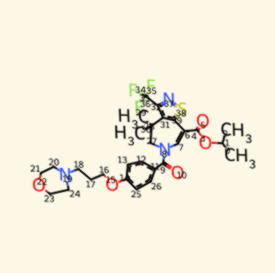 CC(C)OC(=O)C1=CN(C(=O)c2ccc(OCCCN3CCOCC3)cc2)CC(C)(C)c2c(C(F)(F)F)nsc21